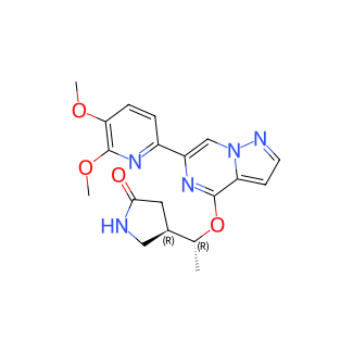 COc1ccc(-c2cn3nccc3c(O[C@H](C)[C@H]3CNC(=O)C3)n2)nc1OC